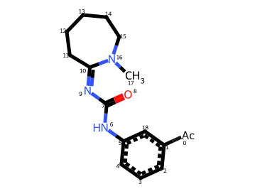 CC(=O)c1cccc(NC(=O)/N=C2/CCCCCN2C)c1